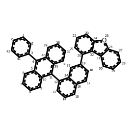 c1ccc(-c2c3ccccc3c(-c3cccc4ccc(-c5cccc6oc7ccccc7c56)cc34)c3ccccc23)cc1